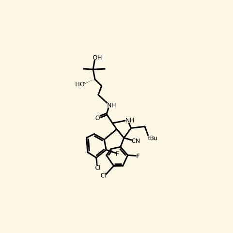 CC(C)(C)CC1NC(C(=O)NCC[C@H](O)C(C)(C)O)C(c2cccc(Cl)c2F)C1(C#N)c1ccc(Cl)cc1F